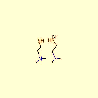 CN(C)CCS.CN(C)CCS.[Ni]